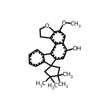 COc1cc2c(O)cc3c(c2c2c1OCC2)-c1ccccc1C31CC(C)(C)C(C)(C)C1